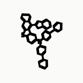 C1=C(c2c3ccccc3cc3sc4ccc(N(c5ccc(-c6ccccc6)cc5)c5ccc(-c6ccccc6)cc5)cc4c23)Cc2ccccc21